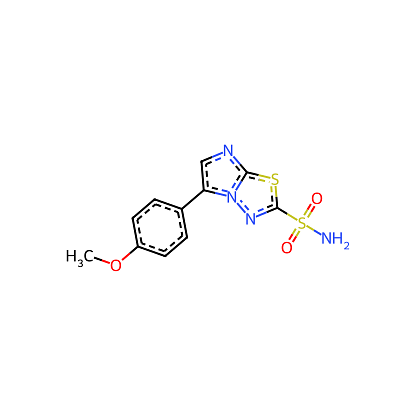 COc1ccc(-c2cnc3sc(S(N)(=O)=O)nn23)cc1